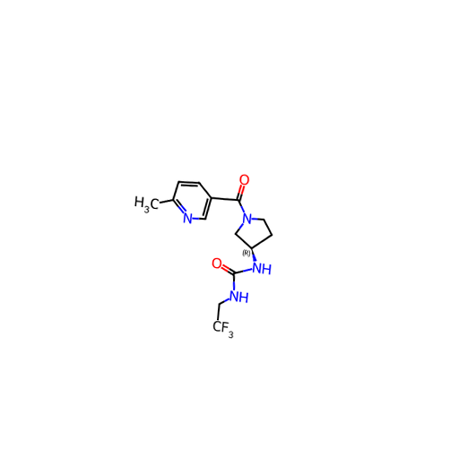 Cc1ccc(C(=O)N2CC[C@@H](NC(=O)NCC(F)(F)F)C2)cn1